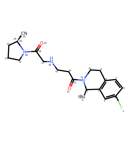 CC(C)(C)C1c2cc(F)ccc2CCN1C(=O)CCNCC(=O)N1CCC[C@H]1C#N